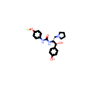 O=C(Nc1ccc(OF)cc1)N[C@H](CN1CCCC1)[C@H](O)c1ccc(O)cc1